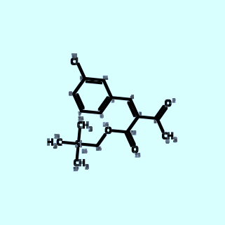 CC(=O)C(=Cc1cccc(Cl)c1)C(=O)OC[Si](C)(C)C